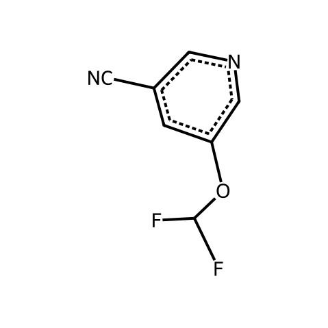 N#Cc1cncc(OC(F)F)c1